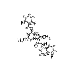 Cc1cn2c(C(=O)Nc3ccnc4c(F)cccc34)c(C)nc2c(OCc2c(F)cccc2F)n1